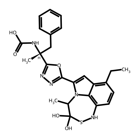 CCc1ccc2c3c1cc(-c1nnc([C@@](C)(Cc4ccccc4)NC(=O)O)o1)n3C(C)C(O)(O)SN2